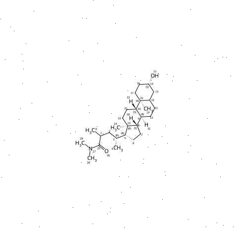 CC(C[C@@H](C)[C@H]1CC[C@H]2[C@@H]3CCC4C[C@@H](O)CC[C@]4(C)[C@H]3CC[C@]12C)C(=O)N(C)C